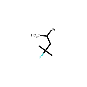 CC(C)C(CC(C)(C)F)C(=O)O